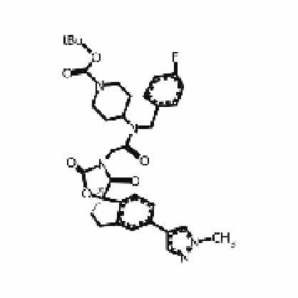 Cn1cc(-c2ccc3c(c2)CC[C@@]32OC(=O)N(CC(=O)N(Cc3ccc(F)cc3)C3CCN(C(=O)OC(C)(C)C)CC3)C2=O)cn1